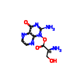 Nc1nc(=O)c2nccnc2n1OC(=O)[C@@H](N)CO